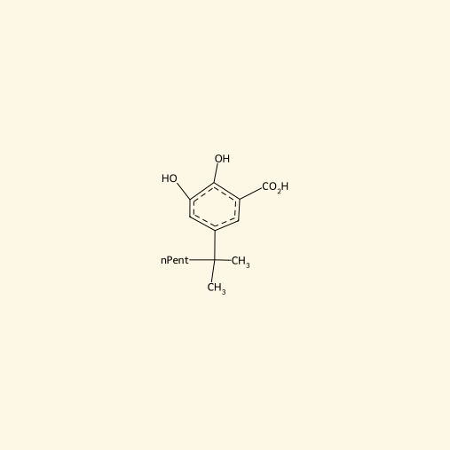 CCCCCC(C)(C)c1cc(O)c(O)c(C(=O)O)c1